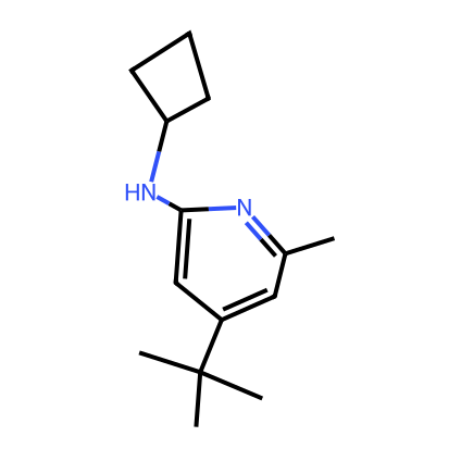 Cc1cc(C(C)(C)C)cc(NC2CCC2)n1